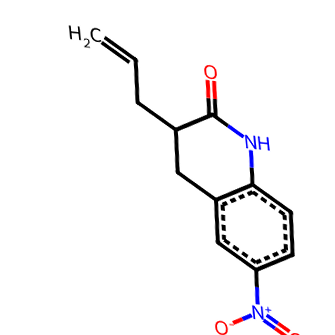 C=CCC1Cc2cc([N+](=O)[O-])ccc2NC1=O